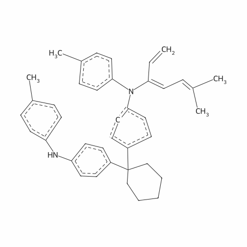 C=C/C(=C\C=C(C)C)N(c1ccc(C)cc1)c1ccc(C2(c3ccc(Nc4ccc(C)cc4)cc3)CCCCC2)cc1